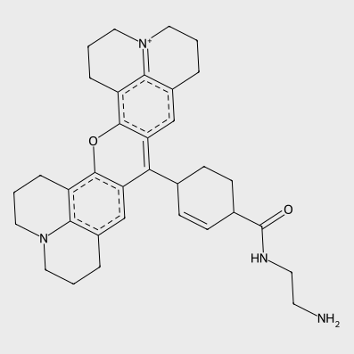 NCCNC(=O)C1C=CC(C2=c3cc4c5c(c3Oc3c2cc2c6c3CCCN6CCC2)CCC[N+]=5CCC4)CC1